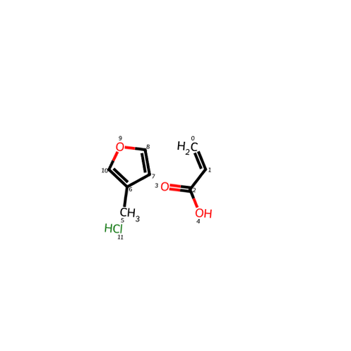 C=CC(=O)O.Cc1ccoc1.Cl